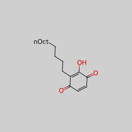 CCCCCCCCCCCCC1=C(O)C(=O)C=CC1=O